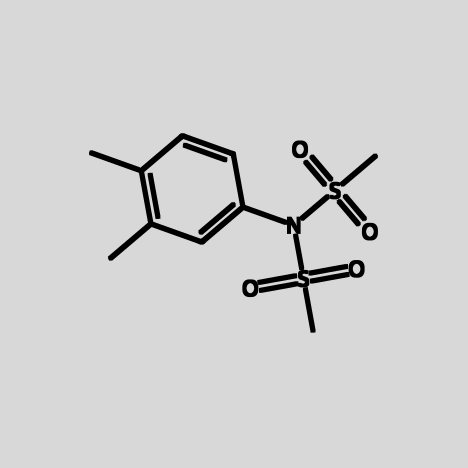 Cc1ccc(N(S(C)(=O)=O)S(C)(=O)=O)cc1C